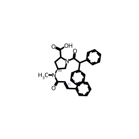 CN(C(=O)/C=C/c1ccccc1)[C@H]1CC(C(=O)O)N(C(=O)C(c2ccccc2)c2ccccc2)C1